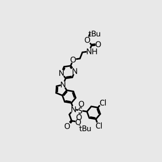 CC(C)(C)OC(=O)CN(c1ccc2c(ccn2-c2cnc(OCCNC(=O)OC(C)(C)C)cn2)c1)S(=O)(=O)C1C=C(Cl)C=C(Cl)C1